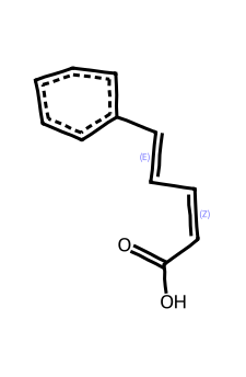 O=C(O)/C=C\C=C\c1ccccc1